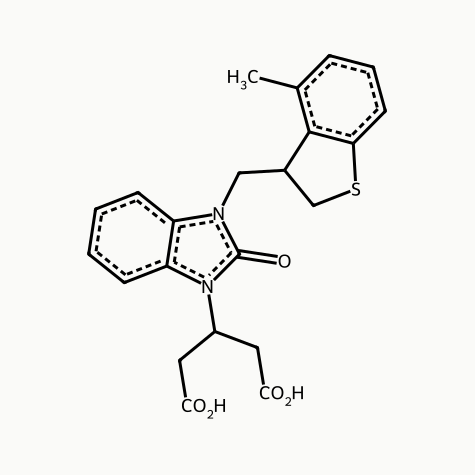 Cc1cccc2c1C(Cn1c(=O)n(C(CC(=O)O)CC(=O)O)c3ccccc31)CS2